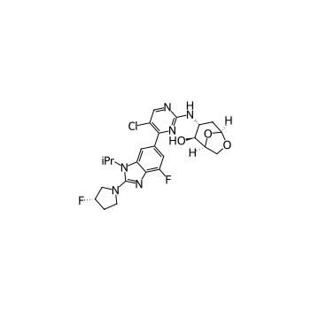 CC(C)n1c(N2CC[C@H](F)C2)nc2c(F)cc(-c3nc(N[C@@H]4C[C@H]5OC[C@H](O5)[C@H]4O)ncc3Cl)cc21